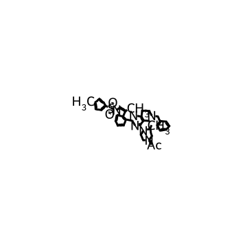 CC(=O)N1CCN(c2nc(-c3cccc4c3c(C)cn4S(=O)(=O)c3ccc(C)cc3)nc3c2CN(Cc2ccccc2)CC3)C(C)C1